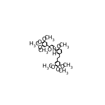 COc1ccc(CCc2cc(OC)c(OC)c(OC)c2)cc1N/C=C\C(=O)c1cc(OC)c(OC)c(OC)c1